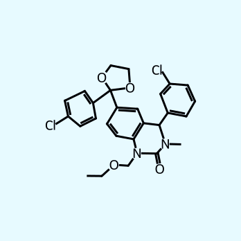 CCOCN1C(=O)N(C)C(c2cccc(Cl)c2)c2cc(C3(c4ccc(Cl)cc4)OCCO3)ccc21